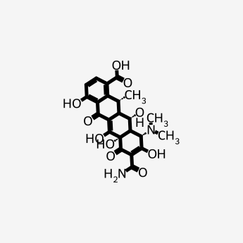 C[C@H]1c2c(C(=O)O)ccc(O)c2C(=O)C2=C(O)[C@]3(O)C(=O)C(C(N)=O)=C(O)[C@@H](N(C)C)C3[C@@H](O)C21